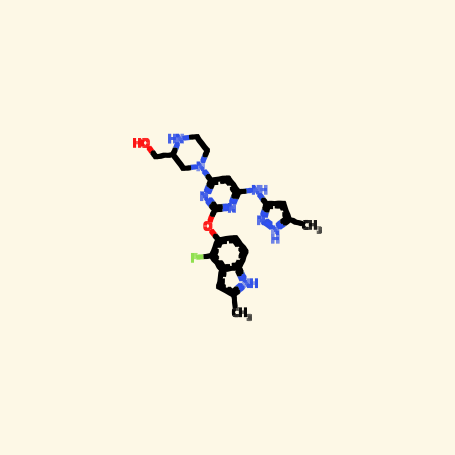 Cc1cc(Nc2cc(N3CCNC(CO)C3)nc(Oc3ccc4[nH]c(C)cc4c3F)n2)n[nH]1